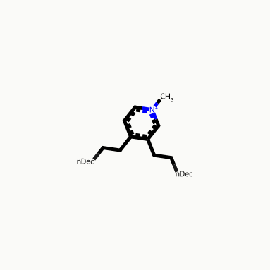 CCCCCCCCCCCCc1cc[n+](C)cc1CCCCCCCCCCCC